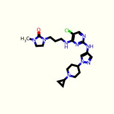 CN1CCN(CCCNc2nc(Nc3cnn(C4CCN(C5CC5)CC4)c3)ncc2Cl)C1=O